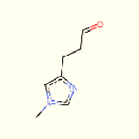 Cn1cnc(CCC=O)c1